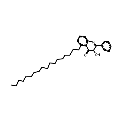 CCCCCCCCCCCCCCCCCCc1cccc2c1C(=O)C(O)C(c1ccccc1)=N2